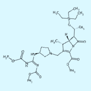 CC[Si](CC)(CC)O[C@H](C)C1C(=O)N2C(C(=O)OP)=C(CN3CC[C@H](NC(=NC(=O)OP)NC(=O)OP)C3)[C@H](C)[C@H]12